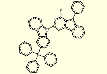 Fc1cc(-n2c3ccccc3c3cc([Si](c4ccccc4)(c4ccccc4)c4ccccc4)ccc32)cc2c3ccccc3n(-c3ccccc3)c12